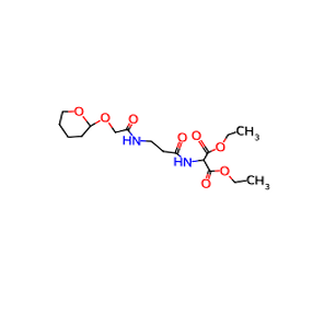 CCOC(=O)C(NC(=O)CCNC(=O)COC1CCCCO1)C(=O)OCC